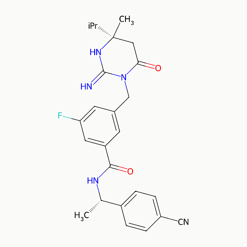 CC(C)[C@]1(C)CC(=O)N(Cc2cc(F)cc(C(=O)N[C@@H](C)c3ccc(C#N)cc3)c2)C(=N)N1